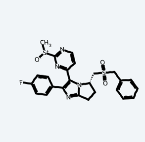 C[S+]([O-])c1nccc(-c2c(-c3ccc(F)cc3)nc3n2[C@H](CS(=O)(=O)Cc2ccccc2)CC3)n1